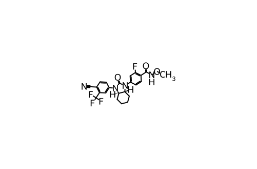 CONC(=O)c1ccc(N2C(=O)N(c3ccc(C#N)c(C(F)(F)F)c3)[C@@H]3CCCC[C@H]32)cc1F